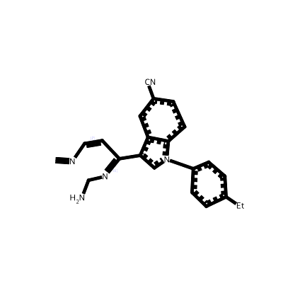 C=N/C=C\C(=N/CN)c1cn(-c2ccc(CC)cc2)c2ccc(C#N)cc12